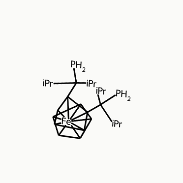 CC(C)C(P)(C(C)C)[C]12[CH]3[CH]4[CH]5[C]1(C(P)(C(C)C)C(C)C)[Fe]43521678[CH]2[CH]1[CH]6[CH]7[CH]28